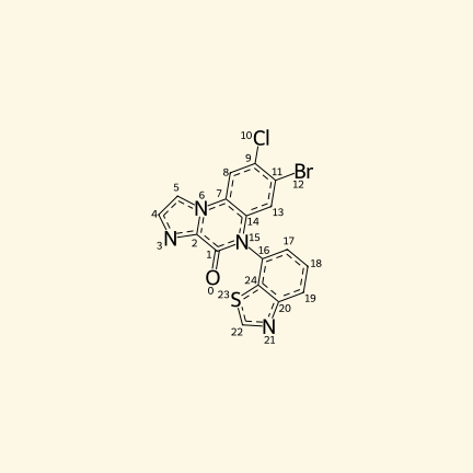 O=c1c2nccn2c2cc(Cl)c(Br)cc2n1-c1cccc2ncsc12